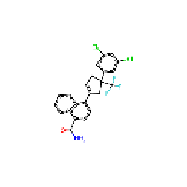 NC(=O)c1ccc(C2=CCC(c3cc(Cl)cc(Cl)c3)(C(F)(F)F)C2)c2ccccc12